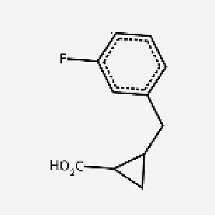 O=C(O)C1CC1Cc1cc[c]c(F)c1